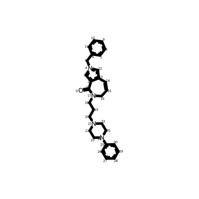 O=C1c2cn(Cc3ccccc3)cc2C=CCN1CCCN1CCN(c2ccccc2)CC1